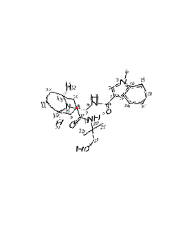 Cn1cc(C(=O)NC[C@@H]2C[C@H]3CC[C@@H](C2)N3CC(=O)NC(C)(C)CO)c2ccccc21